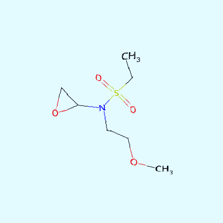 CCS(=O)(=O)N(CCOC)C1CO1